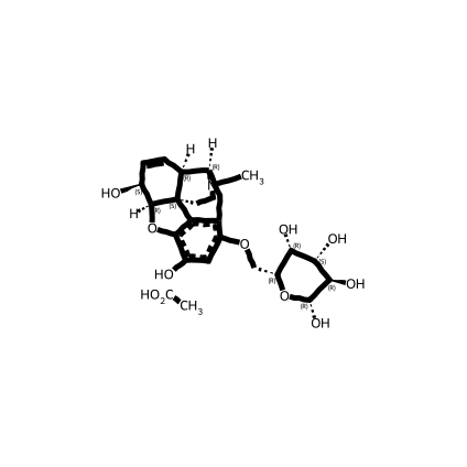 CC(=O)O.CN1CC[C@]23c4c5c(OC[C@H]6O[C@@H](O)[C@H](O)[C@@H](O)[C@H]6O)cc(O)c4O[C@H]2[C@@H](O)C=C[C@H]3[C@H]1C5